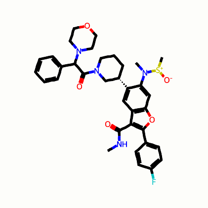 CNC(=O)c1c(-c2ccc(F)cc2)oc2cc(N(C)[S+](C)[O-])c([C@H]3CCCN(C(=O)C(c4ccccc4)N4CCOCC4)C3)cc12